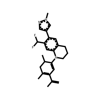 C=C(C)C1=C(C)CC(C)C(N2CCCc3cc(-c4cnn(C)c4)c(C(F)F)cc32)=C1